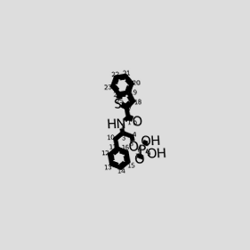 O=C(NC(COP(=O)(O)O)Cc1ccccc1)c1cc2ccccc2s1